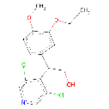 CCOc1cc(C(CO)c2c(Cl)cncc2Cl)ccc1OC